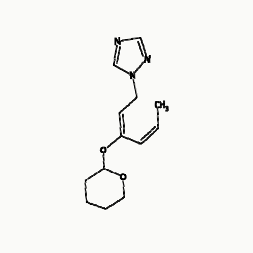 C/C=C\C(=C/Cn1cncn1)OC1CCCCO1